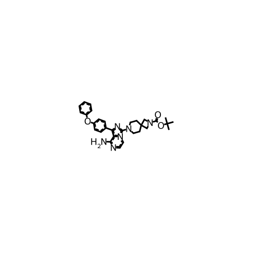 CC(C)(C)OC(=O)N1CC2(CCN(c3nc(-c4ccc(Oc5ccccc5)cc4)c4c(N)nccn34)CC2)C1